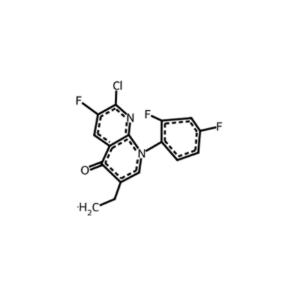 [CH2]Cc1cn(-c2ccc(F)cc2F)c2nc(Cl)c(F)cc2c1=O